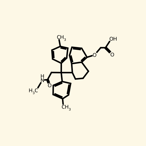 CNC(=O)CC(c1ccc(C)cc1)(c1ccc(C)cc1)C1CCCc2c(OCC(=O)O)cccc21